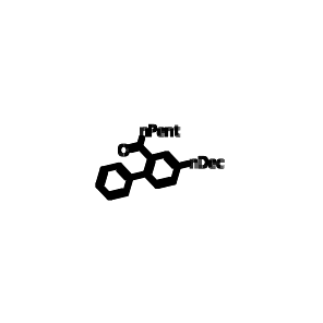 CCCCCCCCCCc1ccc(-c2ccccc2)c(C(=O)CCCCC)c1